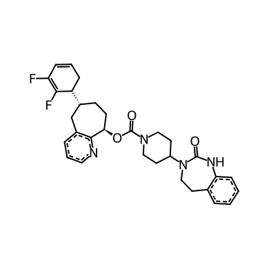 O=C(O[C@@H]1CC[C@@H](C2CC=CC(F)=C2F)Cc2cccnc21)N1CCC(N2CCc3ccccc3NC2=O)CC1